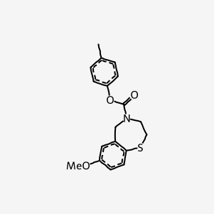 COc1ccc2c(c1)CN(C(=O)Oc1ccc(C)cc1)CCS2